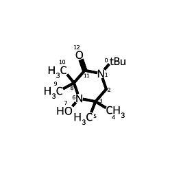 CC(C)(C)N1CC(C)(C)N(O)C(C)(C)C1=O